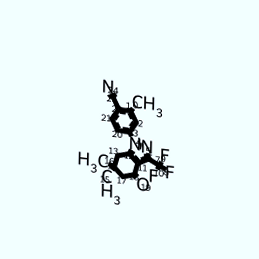 Cc1cc(-n2nc(C(F)(F)F)c3c2CC(C)(C)CC3=O)ccc1C#N